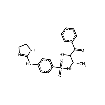 C[C@H](NS(=O)(=O)c1ccc(NC2=NCCN2)cc1)C([O])C(=O)c1ccccc1